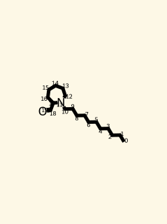 CCCCCCCCCCCN1CCCCCC1C=O